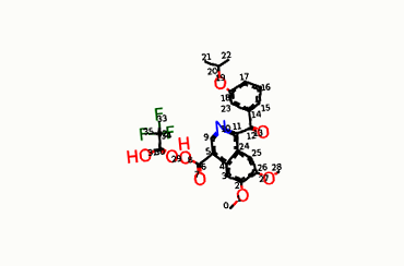 COc1cc2c(C(=O)O)cnc(C(=O)c3cccc(OC(C)C)c3)c2cc1OC.O=C(O)C(F)(F)F